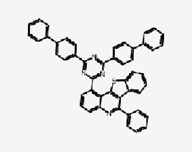 c1ccc(-c2ccc(-c3nc(-c4ccc(-c5ccccc5)cc4)nc(-c4cccc5nc(-c6ccccc6)c6c7ccccc7sc6c45)n3)cc2)cc1